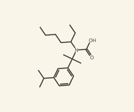 CCCCC(CC)N(C(=O)O)C(C)(C)c1cccc(C(C)C)c1